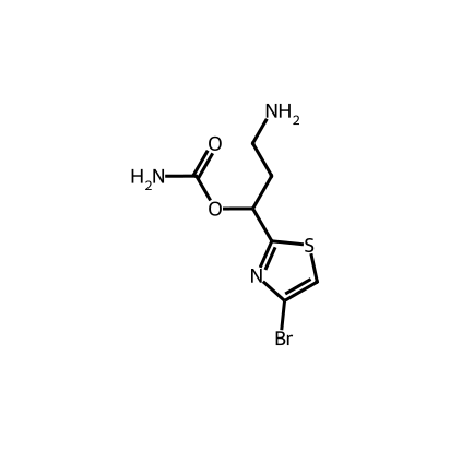 NCCC(OC(N)=O)c1nc(Br)cs1